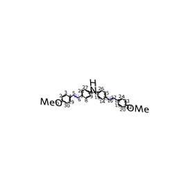 COc1ccc(/C=C/c2ccc(Nc3ccc(/C=C/c4ccc(OC)cc4)cc3)cc2)cc1